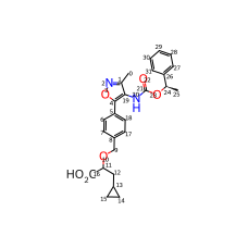 Cc1noc(-c2ccc(COC(CC3CC3)C(=O)O)cc2)c1NC(=O)O[C@H](C)c1ccccc1